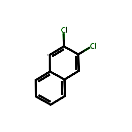 Clc1[c]c2ccccc2cc1Cl